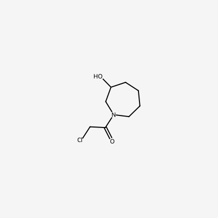 O=C(CCl)N1CCCCC(O)C1